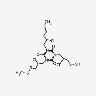 CSSCC(Cl)Cn1c(=O)n(CC(Cl)CSS)c(=O)n(CC(Cl)CSSC)c1=O